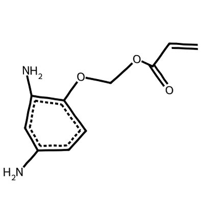 C=CC(=O)OCOc1ccc(N)cc1N